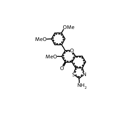 COc1cc(OC)cc(-c2oc3ccc4nc(N)sc4c3c(=O)c2OC)c1